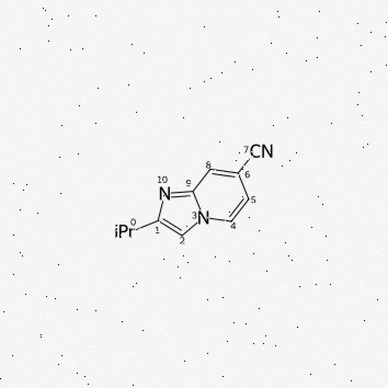 CC(C)c1cn2ccc(C#N)cc2n1